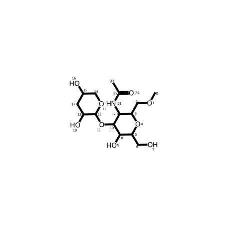 COCC1OC(CO)C(O)C(OC2OCC(O)CC2O)C1NC(C)=O